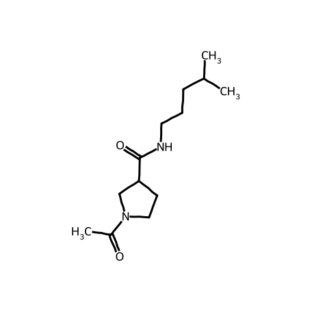 CC(=O)N1CCC(C(=O)NCCCC(C)C)C1